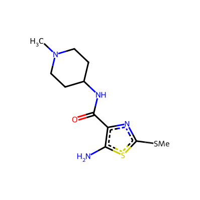 CSc1nc(C(=O)NC2CCN(C)CC2)c(N)s1